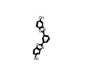 Oc1ccc2oc(-c3cccc(-c4nc5cc(O)ccc5o4)c3)nc2c1